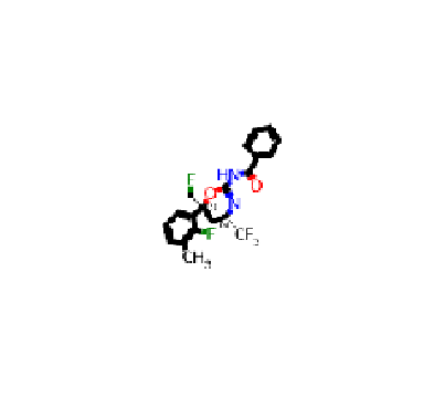 Cc1cccc([C@]2(CF)C[C@@H](C(F)(F)F)N=C(NC(=O)c3ccccc3)O2)c1F